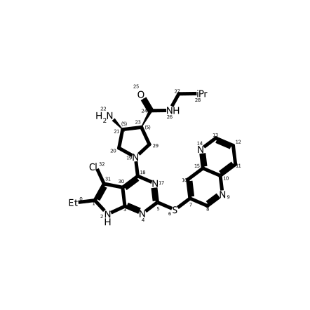 CCc1[nH]c2nc(Sc3cnc4cccnc4c3)nc(N3C[C@@H](N)[C@@H](C(=O)NCC(C)C)C3)c2c1Cl